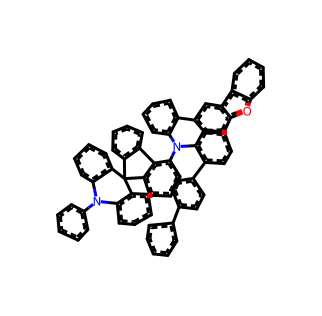 c1ccc(-c2ccc(-c3ccccc3N(c3ccccc3-c3ccc4oc5ccccc5c4c3)c3cccc4c3-c3ccccc3C43c4ccccc4N(c4ccccc4)c4ccccc43)cc2)cc1